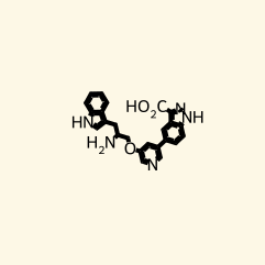 NC(COc1cncc(-c2ccc3[nH]nc(C(=O)O)c3c2)c1)Cc1c[nH]c2ccccc12